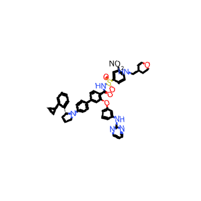 O=C(NS(=O)(=O)c1ccc(NCC2CCOCC2)c([N+](=O)[O-])c1)c1ccc(-c2ccc(N3CCC[C@@H]3c3ccccc3C3CC3)cc2)cc1Oc1cccc(Nc2ncccn2)c1